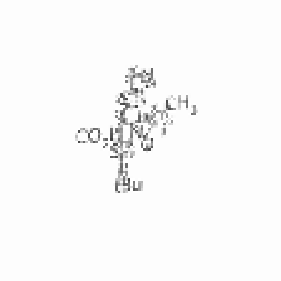 CC1CCC(C(=O)N(c2cc(C#CC(C)(C)C)sc2C(=O)O)C2CCC(Sc3ccncc3)CC2)CC1